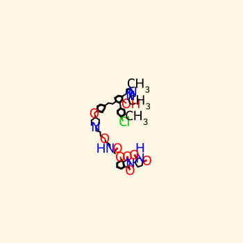 Cc1cc(-c2ccc(CCc3ccc(OC4CCN(CCCOCCNC(=O)COc5cccc6c5C(=O)N(C5CCC(=O)NC5=O)C6=O)CC4)cc3)c(-c3ccc(Cl)c(C)c3)c2O)n(C)n1